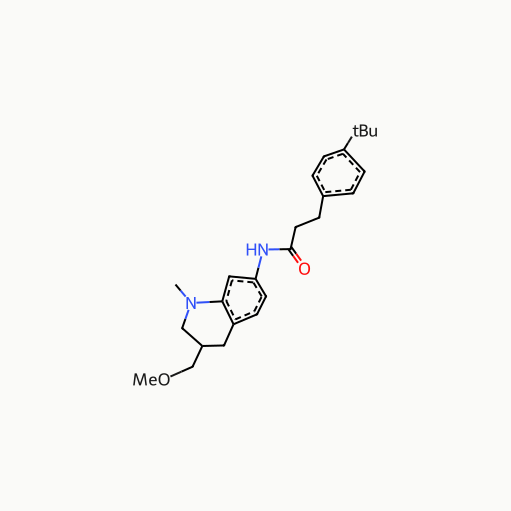 COCC1Cc2ccc(NC(=O)CCc3ccc(C(C)(C)C)cc3)cc2N(C)C1